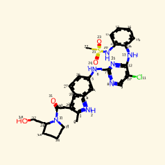 Cc1[nH]c2cc(Nc3ncc(Cl)c(Nc4ccccc4NS(C)(=O)=O)n3)ccc2c1C(=O)N1CCCC1CO